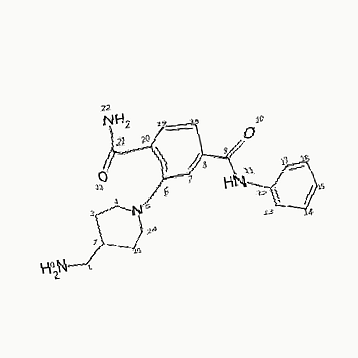 NCC1CCN(c2cc(C(=O)Nc3ccccc3)ccc2C(N)=O)CC1